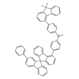 CN(c1ccc(-c2cccc3c2-c2ccccc2C3(C)C)cc1)c1ccc(-c2cccc3c2-c2ccccc2C32c3ccccc3-c3ccc(-c4ccccc4)cc32)cc1